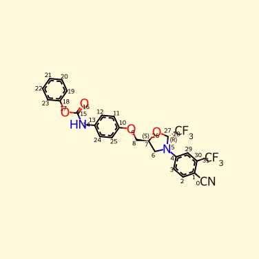 N#Cc1ccc(N2C[C@@H](COc3ccc(NC(=O)Oc4ccccc4)cc3)O[C@@H]2C(F)(F)F)cc1C(F)(F)F